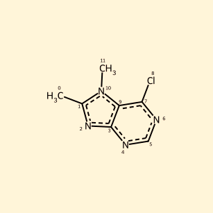 Cc1nc2ncnc(Cl)c2n1C